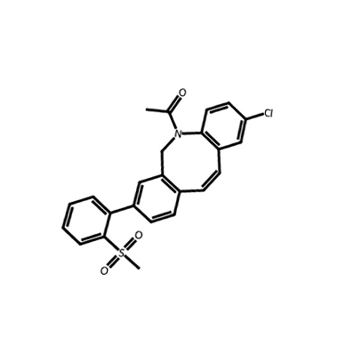 CC(=O)N1Cc2cc(-c3ccccc3S(C)(=O)=O)ccc2C=Cc2cc(Cl)ccc21